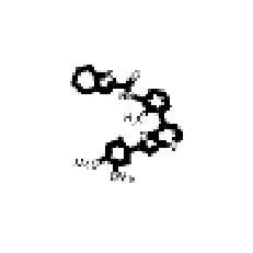 COc1ccc(-c2cc3nccc(-c4cccc(NC(=O)c5cc6c(s5)CCCC6)c4C)c3o2)cc1OC